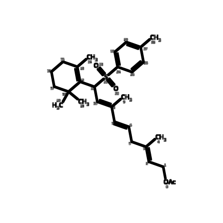 CC(=O)OC/C=C(\C)C/C=C/C(C)=C/C(C1=C(C)CCCC1(C)C)S(=O)(=O)c1ccc(C)cc1